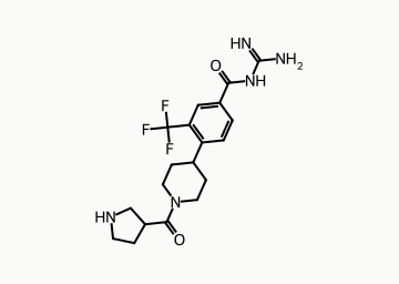 N=C(N)NC(=O)c1ccc(C2CCN(C(=O)C3CCNC3)CC2)c(C(F)(F)F)c1